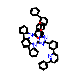 c1ccc(-c2cccc(-c3cccc(-n4c5ccccc5c5ccc6c7ccccc7n(-c7nc(-c8ccccc8)nc(-c8cccc(-c9cccc(-c%10ccccc%10)n9)c8)n7)c6c54)c3)c2)cc1